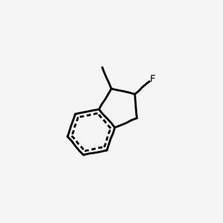 CC1c2ccccc2CC1F